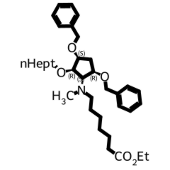 CCCCCCCO[C@@H]1[C@@H](N(C)CCCCCCC(=O)OCC)[C@H](OCc2ccccc2)C[C@@H]1OCc1ccccc1